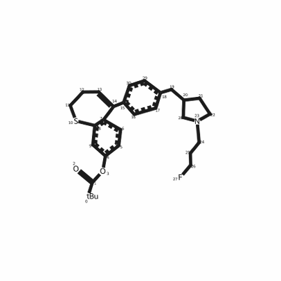 CC(C)(C)C(=O)Oc1ccc2c(c1)SCCC=C2c1ccc(CC2CCN(CCCF)C2)cc1